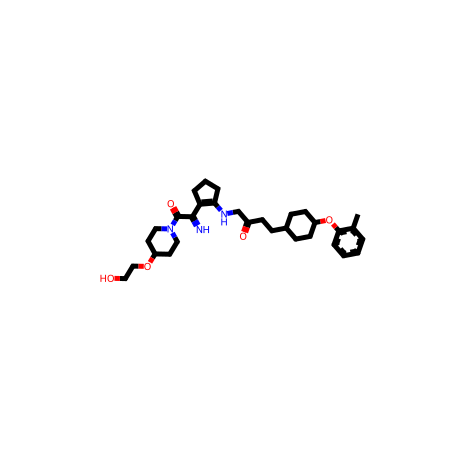 Cc1ccccc1OC1CCC(CCC(=O)CNC2=C(C(=N)C(=O)N3CCC(OCCO)CC3)CCC2)CC1